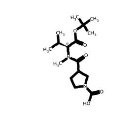 CC(C)[C@@H](C(=O)OC(C)(C)C)N(C)C(=O)C1CCN(C(=O)O)C1